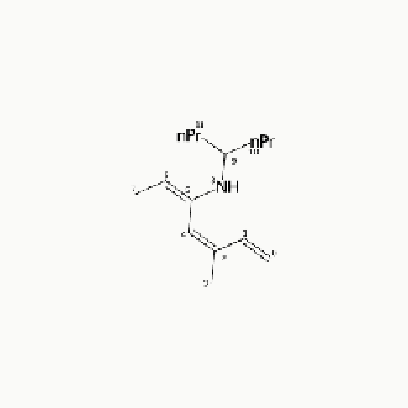 C=C/C(C)=C\C(=C/C)NC(CCC)CCC